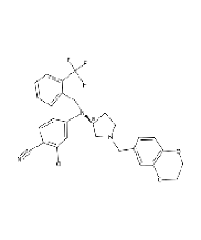 N#Cc1ccc(N(Cc2ccccc2C(F)(F)F)[C@H]2CCN(Cc3ccc4c(c3)OCCO4)C2)cc1Cl